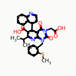 CSc1ccccc1Cn1c(=O)n(CC(=O)O)c(=O)c2c(-c3ccnc4ccccc34)c(C(=O)O)c(C(C)C)nc21